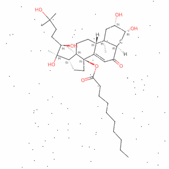 CCCCCCCCCC(=O)O[C@@]12CC[C@H]([C@@](C)(O)[C@H](O)CCC(C)(C)O)[C@@]1(C)CC[C@H]1C2=CC(=O)[C@@H]2C[C@@H](O)[C@@H](O)C[C@@]21C